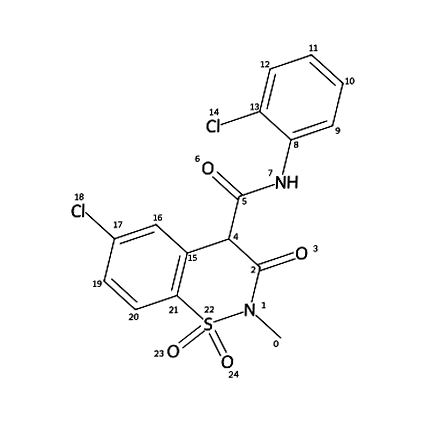 CN1C(=O)C(C(=O)Nc2ccccc2Cl)c2cc(Cl)ccc2S1(=O)=O